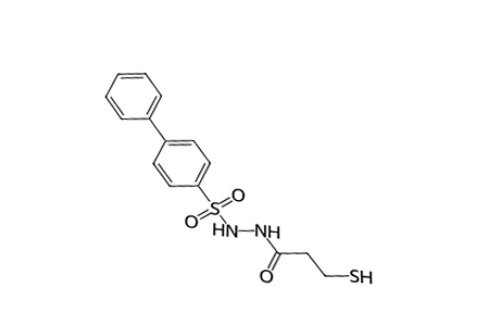 O=C(CCS)NNS(=O)(=O)c1ccc(-c2ccccc2)cc1